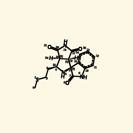 CSCC[C@@H]1N[C@@]2(C(=O)Nc3ccccc32)[C@@H]2C(=O)NC(=O)[C@H]12